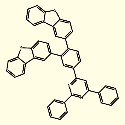 c1ccc(-c2cc(-c3ccc(-c4ccc5sc6ccccc6c5c4)c(-c4ccc5sc6ccccc6c5c4)c3)nc(-c3ccccc3)n2)cc1